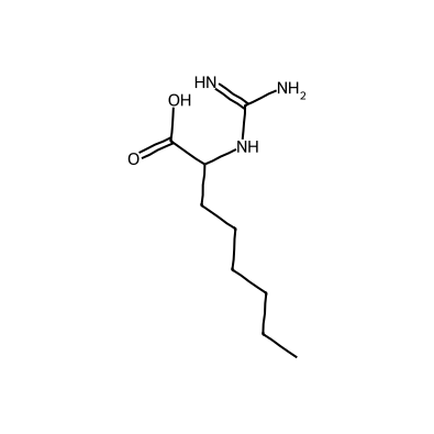 CCCCCCC(NC(=N)N)C(=O)O